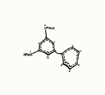 CCCCCc1cc(CCCCC)cc(-c2[c]cccc2)c1